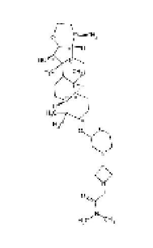 C[C@@H]1CCOC2[C@H]1[C@@]1(C)CCC34C[C@@]35CC[C@H](OC3CN(C6CN(CC(=O)N(C)C)C6)CCO3)C(C)(C)[C@@H]5CCC4C1(C)[C@H]2O